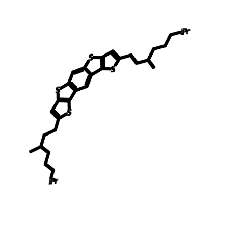 CC(C)CCCC(C)CCc1cc2sc3cc4sc5cc(CCC(C)CCCC(C)C)sc5c4cc3c2s1